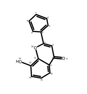 O=c1cc(-c2ccccc2)oc2c(O)cccc12